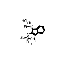 C[CH2][Zr][CH]1C(O[Si](C)(C)C(C)(C)C)=Cc2ccccc21.Cl.Cl